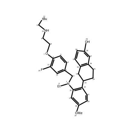 CCN(Cc1ccc(OCCNCC(C)(C)C)c(F)c1)c1cc(OC)ccc1C1CCc2cc(O)ccc2C1